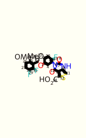 [2H]C(Oc1cc(-n2c(=O)[nH]c3csc(C(=O)O)c3c2=O)c(F)cc1OC)c1c(OC)ccc(F)c1F